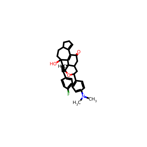 CN(C)c1ccc(C2CC3CC(=O)C4=C(C(O)(C#Cc5ccc(F)cc5)CCC5CCC=C45)C3(C)CO2)cc1